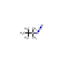 CC(C)(C)[Si](C)(C)N=[N+]=[N-]